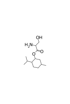 CC1CCC(C(C)C)C(OC(=O)C(N)CO)C1